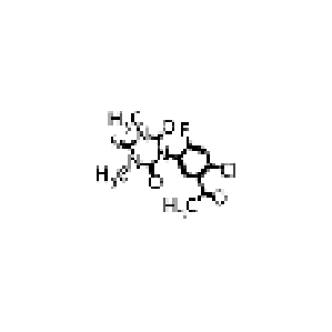 CC(=O)c1cc(-n2c(=O)n(C)c(=S)n(C)c2=O)c(F)cc1Cl